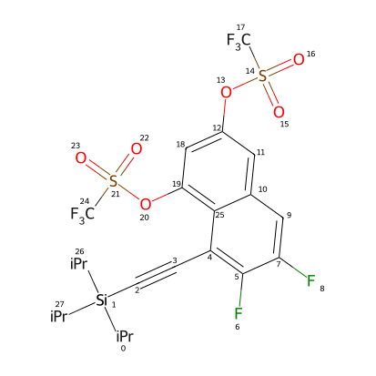 CC(C)[Si](C#Cc1c(F)c(F)cc2cc(OS(=O)(=O)C(F)(F)F)cc(OS(=O)(=O)C(F)(F)F)c12)(C(C)C)C(C)C